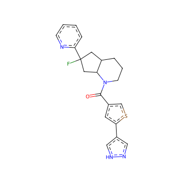 O=C(c1csc(-c2cn[nH]c2)c1)N1CCCC2CC(F)(c3ccccn3)CC21